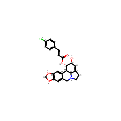 O=C(/C=C/c1ccc(Cl)cc1)O[C@H]1C2c3cc4c(cc3CN3CCC(=C[C@@H]1O)C23)OCO4